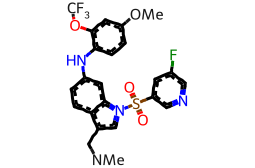 CNCc1cn(S(=O)(=O)c2cncc(F)c2)c2cc(Nc3ccc(OC)cc3OC(F)(F)F)ccc12